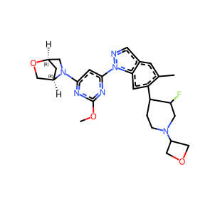 COc1nc(N2C[C@H]3C[C@@H]2CO3)cc(-n2ncc3cc(C)c(C4CCN(C5COC5)CC4F)cc32)n1